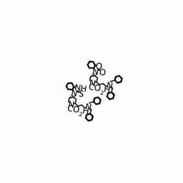 O=C(O)N1CC[C@H](n2c(=O)oc3ccccc32)CC1CCCN(Cc1ccccc1)Cc1ccccc1.O=C(O)N1CC[C@H](n2c(=S)[nH]c3ccccc32)CC1CCCN(Cc1ccccc1)Cc1ccccc1